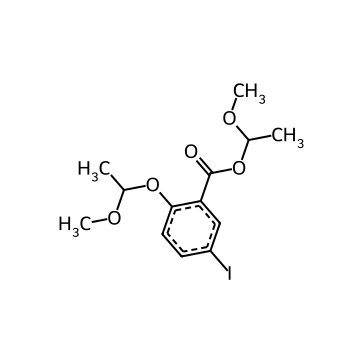 COC(C)OC(=O)c1cc(I)ccc1OC(C)OC